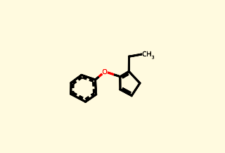 CCC1=C(Oc2ccccc2)C=CC1